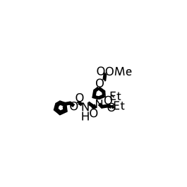 CCOC(CN(C(=O)CNC(=O)OCc1ccccc1)C1CCC(OCC(=O)OC)CC1)OCC